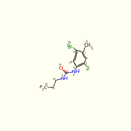 Cc1cc(F)c(NC(=O)NCCC(F)(F)F)cc1Br